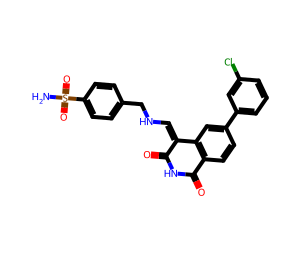 NS(=O)(=O)c1ccc(CN/C=C2\C(=O)NC(=O)c3ccc(-c4cccc(Cl)c4)cc32)cc1